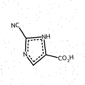 N#Cc1ncc(C(=O)O)[nH]1